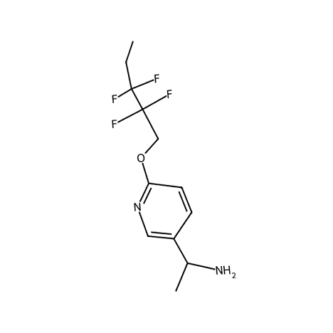 CCC(F)(F)C(F)(F)COc1ccc(C(C)N)cn1